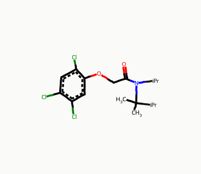 CC(C)N(C(=O)COc1cc(Cl)c(Cl)cc1Cl)C(C)(C)C(C)C